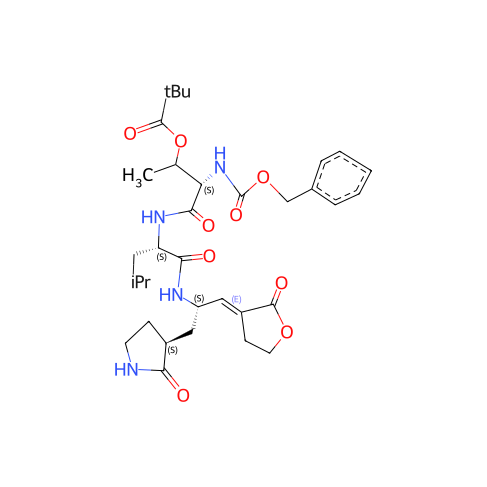 CC(C)C[C@H](NC(=O)[C@@H](NC(=O)OCc1ccccc1)C(C)OC(=O)C(C)(C)C)C(=O)N[C@H](/C=C1\CCOC1=O)C[C@@H]1CCNC1=O